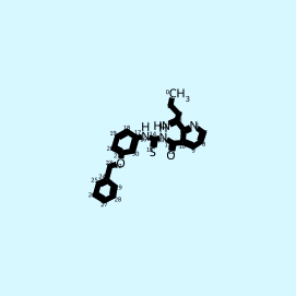 CCCC(=N)c1ncccc1C(=O)NC(=S)Nc1cccc(OCc2ccccc2)c1